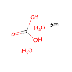 O.O.O=C(O)O.[Sm]